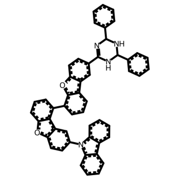 c1ccc(C2N=C(c3ccc4oc5c(-c6cccc7oc8ccc(-n9c%10ccccc%10c%10ccccc%109)cc8c67)cccc5c4c3)NC(c3ccccc3)N2)cc1